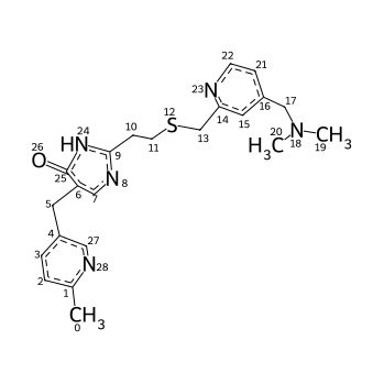 Cc1ccc(Cc2cnc(CCSCc3cc(CN(C)C)ccn3)[nH]c2=O)cn1